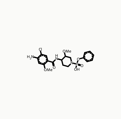 COc1cc(N)c(Cl)cc1C(=O)NC1CCN(P(=O)(O)Oc2ccccc2)CC1OC